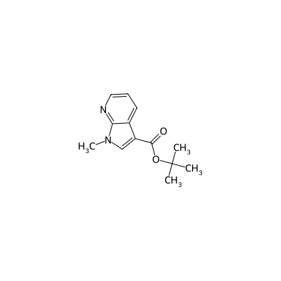 Cn1cc(C(=O)OC(C)(C)C)c2cccnc21